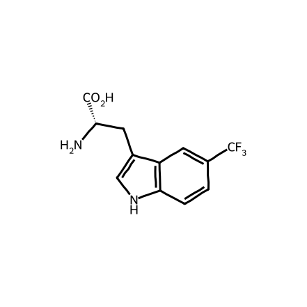 N[C@@H](Cc1c[nH]c2ccc(C(F)(F)F)cc12)C(=O)O